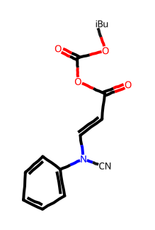 CCC(C)OC(=O)OC(=O)C=CN(C#N)c1ccccc1